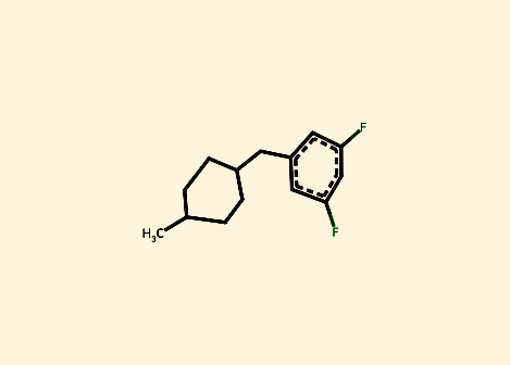 CC1CCC(Cc2cc(F)cc(F)c2)CC1